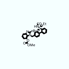 CCCCc1nc2cccc(OC(=O)OC)c2n1Cc1ccc(-c2ccccc2S(=O)(=O)NC(=O)OCC)cc1